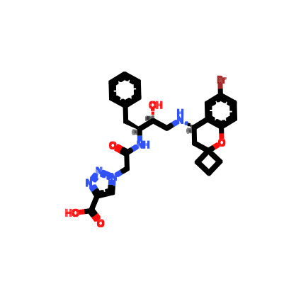 O=C(Cn1cc(C(=O)O)nn1)N[C@@H](Cc1ccccc1)[C@H](O)CN[C@H]1CC2(CCC2)Oc2ccc(Br)cc21